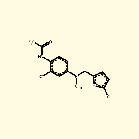 CN(Cc1ccc(Cl)s1)c1ccc(NC(=O)C(F)(F)F)c(Cl)c1